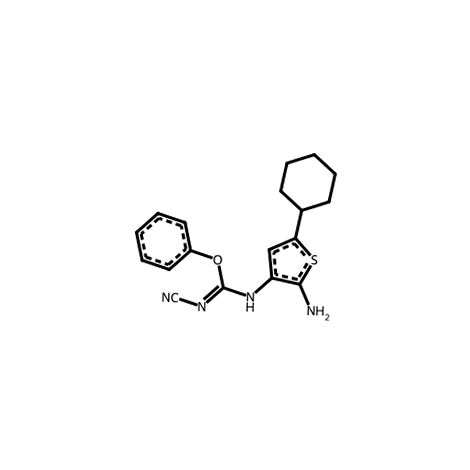 N#CN=C(Nc1cc(C2CCCCC2)sc1N)Oc1ccccc1